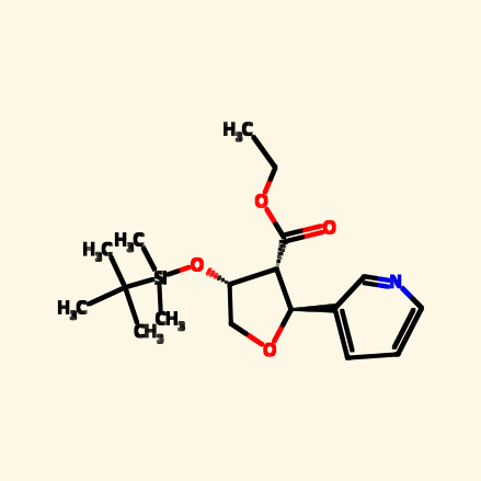 CCOC(=O)[C@H]1[C@@H](O[Si](C)(C)C(C)(C)C)CO[C@@H]1c1cccnc1